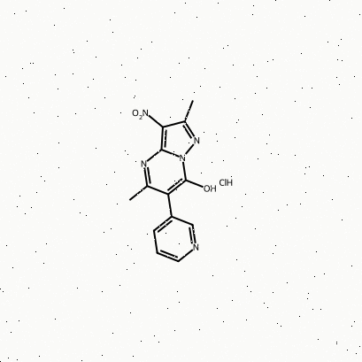 Cc1nc2c([N+](=O)[O-])c(C)nn2c(O)c1-c1cccnc1.Cl